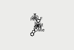 CCC1(c2cc(F)cc(NS(=O)(=O)C3CC3)c2)[C@@H]2CN(CC3(OC)Cc4ccccc4C3)C[C@@H]21.Cl